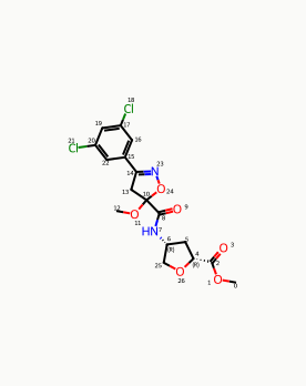 COC(=O)[C@H]1C[C@@H](NC(=O)C2(OC)CC(c3cc(Cl)cc(Cl)c3)=NO2)CO1